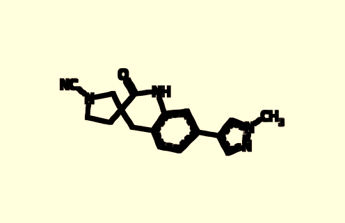 Cn1cc(-c2ccc3c(c2)NC(=O)C2(CCN(C#N)C2)C3)cn1